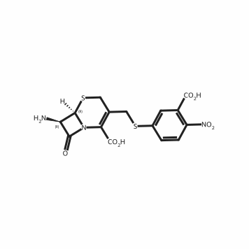 N[C@@H]1C(=O)N2C(C(=O)O)=C(CSc3ccc([N+](=O)[O-])c(C(=O)O)c3)CS[C@H]12